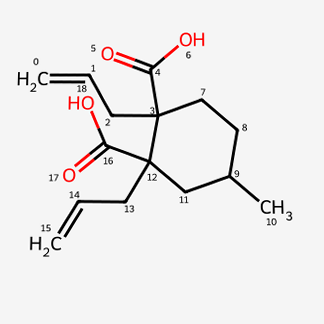 C=CCC1(C(=O)O)CCC(C)CC1(CC=C)C(=O)O